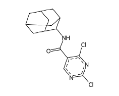 O=C(NC1C2CC3CC(C2)CC1C3)c1cnc(Cl)nc1Cl